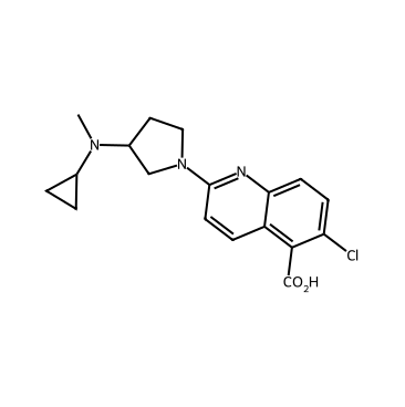 CN(C1CC1)C1CCN(c2ccc3c(C(=O)O)c(Cl)ccc3n2)C1